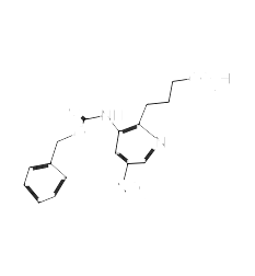 O=C(O)CCCc1ncc([N+](=O)[O-])cc1NC(=O)OCc1ccccc1